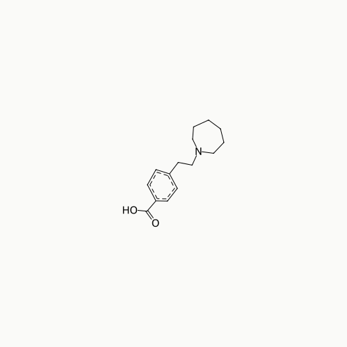 O=C(O)c1ccc(CCN2CCCCCC2)cc1